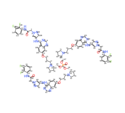 O=C(Cn1cc(Nc2ncnc3cc(OCCCN4CCC[C@H]4COP(=O)(OC[C@@H]4CCCN4CCCOc4ccc5c(Nc6cnn(CC(=O)Nc7cccc(F)c7F)c6)ncnc5c4)OC[C@@H]4CCCN4CCCOc4ccc5c(Nc6cnn(CC(=O)Nc7cccc(F)c7F)c6)ncnc5c4)ccc23)cn1)Nc1cccc(F)c1F